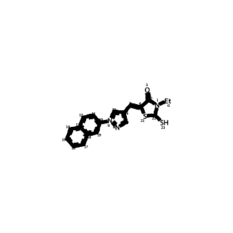 CCN1C(=O)/C(=C/c2cnn(-c3ccc4ccccc4c3)c2)SC1S